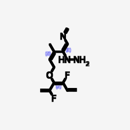 C=C/C(F)=C(/OC/C=C(C)\C(=C/N=C)NN)C(=C)F